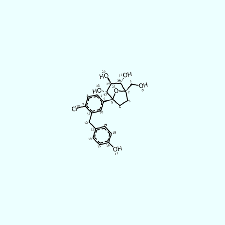 OC[C@@]12CC[C@@](c3ccc(Cl)c(Cc4ccc(O)cc4)c3)(O1)[C@H](O)[C@@H](O)[C@@H]2O